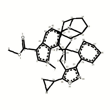 COC(=O)c1cn(C)c2cc(N3C4CCC3CC(F)(COCc3c(-c5ccccc5C(F)(F)F)noc3C3CC3)C4)ccc12